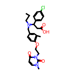 CCCN(Cc1ccc(OCCn2c(=O)ccn(C)c2=O)c(C)c1)C(CC(=O)O)c1ccc(Cl)cc1